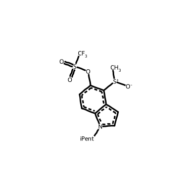 CCCC(C)n1ccc2c([S+](C)[O-])c(OS(=O)(=O)C(F)(F)F)ccc21